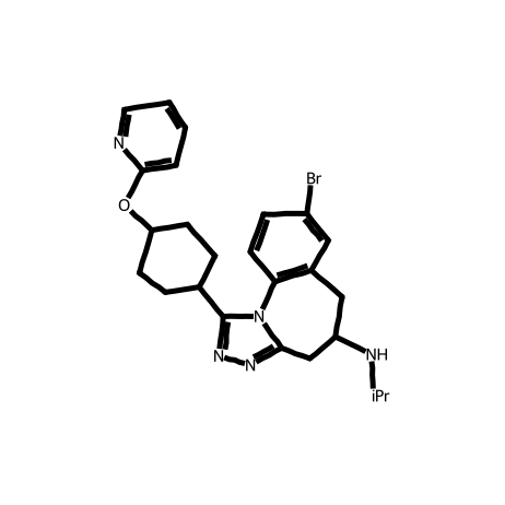 CC(C)NC1Cc2cc(Br)ccc2-n2c(nnc2C2CCC(Oc3ccccn3)CC2)C1